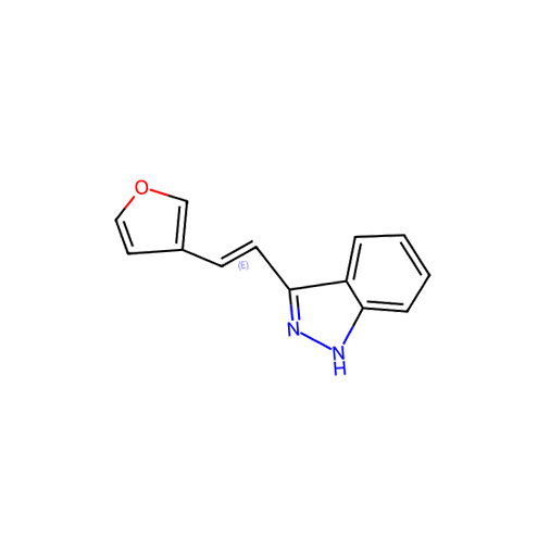 C(=C\c1n[nH]c2ccccc12)/c1ccoc1